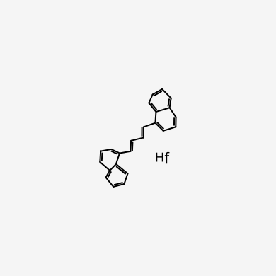 C(C=Cc1cccc2ccccc12)=Cc1cccc2ccccc12.[Hf]